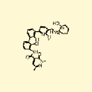 COc1nc(-c2cccc(-c3cccc(NC(=O)c4cc(C)nn(C)c4=O)c3Cl)c2Cl)ccc1CN[C@@H]1CCCC[C@@H]1O